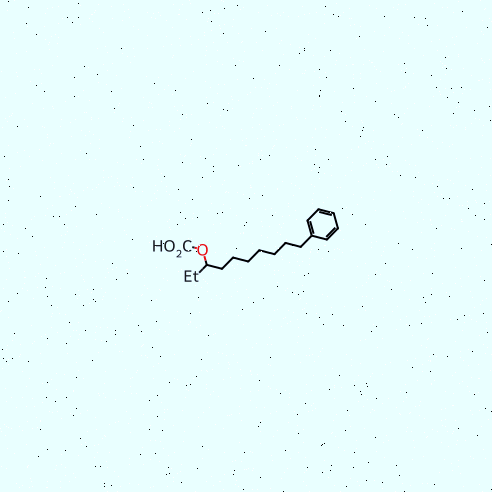 CCC(CCCCCCCc1ccccc1)OC(=O)O